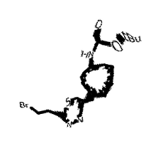 CC(C)(C)OC(=O)Nc1cccc(-c2nnc(CBr)s2)c1